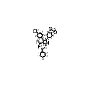 CS(=O)(=O)c1ccc(-c2nn(CCc3ccccc3)c(C(F)F)c2-c2ccc(Cl)cc2)cc1